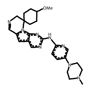 COC1CCC2(CC1)CN=Cc1cc3cnc(Nc4ccc(N5CCN(C)CC5)cn4)nc3n12